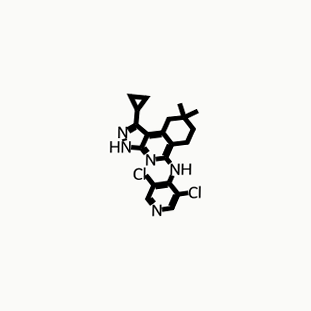 CC1(C)CCc2c(Nc3c(Cl)cncc3Cl)nc3[nH]nc(C4CC4)c3c2C1